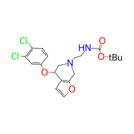 CC(C)(C)OC(=O)NCCN1Cc2occc2C(Oc2ccc(Cl)c(Cl)c2)C1